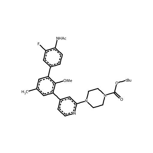 COc1c(-c2ccnc(N3CCN(C(=O)OC(C)(C)C)CC3)c2)cc(C)cc1-c1ccc(NC(C)=O)c(F)c1